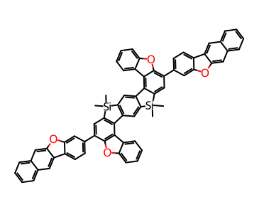 C[Si]1(C)c2cc3c(cc2-c2c1cc(-c1ccc4c(c1)oc1cc5ccccc5cc14)c1oc4ccccc4c21)[Si](C)(C)c1cc(-c2ccc4c(c2)oc2cc5ccccc5cc24)c2oc4ccccc4c2c1-3